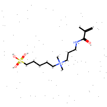 C=C(C)C(=O)NCCC[N+](C)(C)CCCCCS(=O)(=O)[O-]